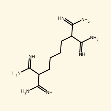 N=C(N)C(CCCCC(C(=N)N)C(=N)N)C(=N)N